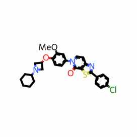 COc1cc(-n2ccc3nc(-c4ccc(Cl)cc4)sc3c2=O)ccc1OC1CN(C2CCCCC2)C1